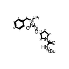 CC(C)N(Cc1ccccc1)/[N+]([O-])=N/O[C@@H]1CCN(C(=O)NC(C)(C)C)C1